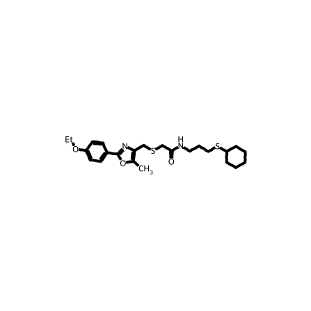 CCOc1ccc(-c2nc(CSCC(=O)NCCCSC3CCCCC3)c(C)o2)cc1